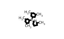 Cc1cc(C)cc(P(c2cc(C)cc(C)c2)c2cccc(C)n2)c1